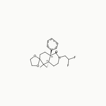 CC12C[C@]13CCN(CC(F)F)C(=O)[C@@]3(c1ccccc1)CCC21OCCO1